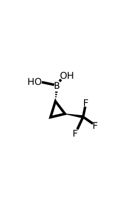 OB(O)[C@H]1C[C@@H]1C(F)(F)F